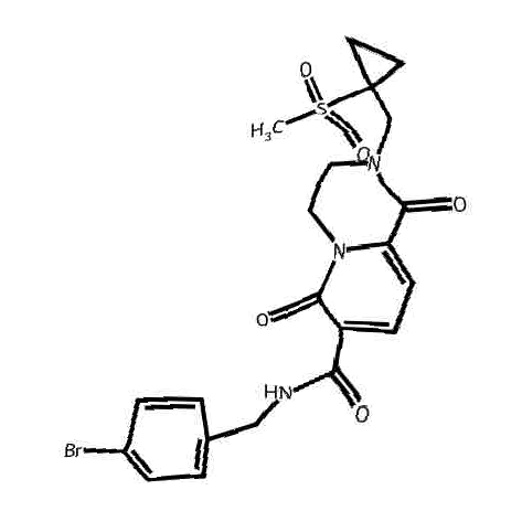 CS(=O)(=O)C1(CN2CCn3c(ccc(C(=O)NCc4ccc(Br)cc4)c3=O)C2=O)CC1